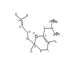 CCCCC(CCC)CC1=C(C)CCC(C)(CCC=C(C)C)O1